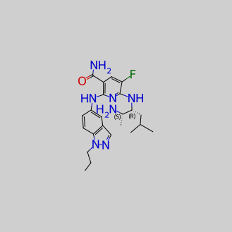 CCCn1ncc2cc(Nc3nc(N[C@H](CC(C)C)[C@H](C)N)c(F)cc3C(N)=O)ccc21